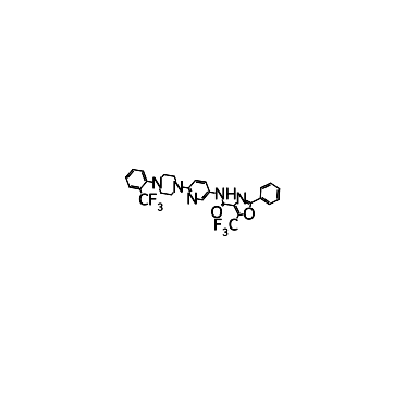 O=C(Nc1ccc(N2CCN(c3ccccc3C(F)(F)F)CC2)nc1)c1nc(-c2ccccc2)oc1C(F)(F)F